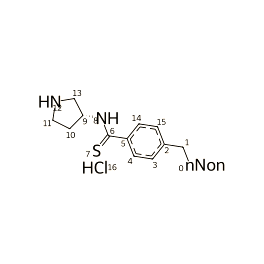 CCCCCCCCCCc1ccc(C(=S)N[C@@H]2CCNC2)cc1.Cl